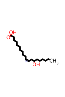 CCCCCCC(O)C/C=C\CCCCCCCCCC(=O)O